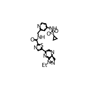 CCn1ncc2ncc(-c3cnc(C(=O)NCc4cc(NS(=O)(=O)C5CC5)ccn4)s3)nc21